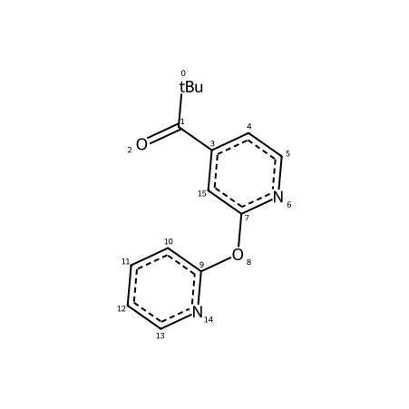 CC(C)(C)C(=O)c1ccnc(Oc2ccccn2)c1